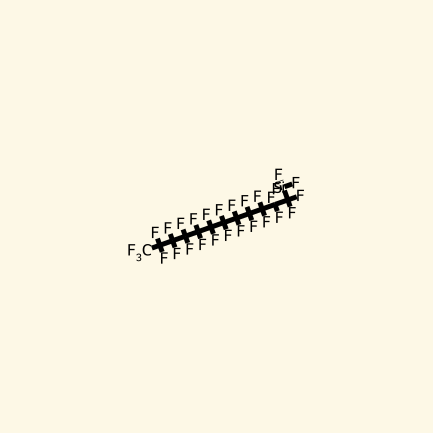 FC(F)(F)C(F)(F)C(F)(F)C(F)(F)C(F)(F)C(F)(F)C(F)(F)C(F)(F)C(F)(F)C(F)(F)C(F)(F)C(F)(F)[Si](F)(F)F